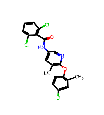 Cc1cc(Cl)ccc1Oc1ncc(NC(=O)c2c(Cl)cccc2Cl)cc1C